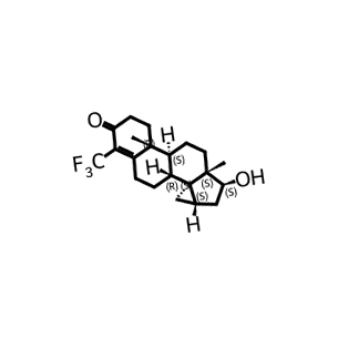 C[C@]12CCC(=O)C(C(F)(F)F)=C1CC[C@@H]1[C@@H]2CC[C@]2(C)[C@@H](O)C[C@@H]3C[C@]312